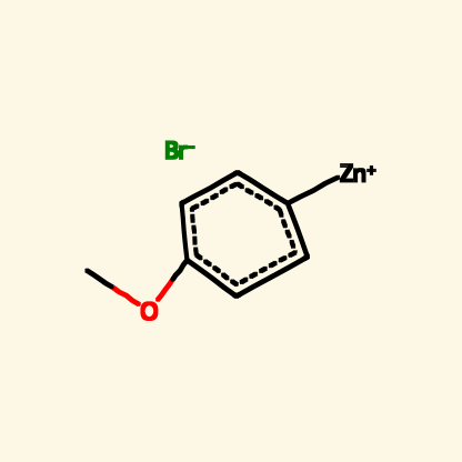 COc1cc[c]([Zn+])cc1.[Br-]